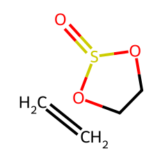 C=C.O=S1OCCO1